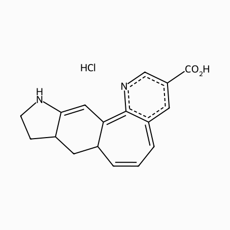 Cl.O=C(O)c1cnc2c(c1)=CC=CC1CC3CCNC3=CC=21